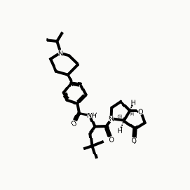 CC(C)N1CCC(c2ccc(C(=O)NC(CC(C)(C)C)C(=O)N3CC[C@H]4OCC(=O)[C@H]43)cc2)CC1